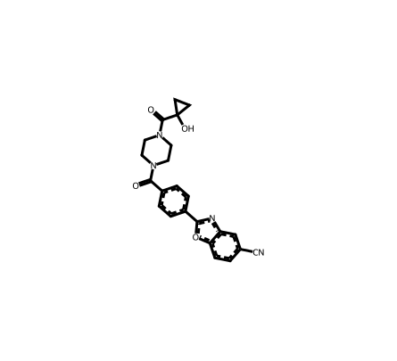 N#Cc1ccc2oc(-c3ccc(C(=O)N4CCN(C(=O)C5(O)CC5)CC4)cc3)nc2c1